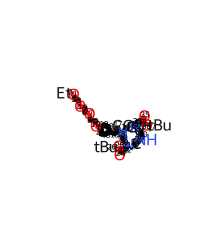 CCOCCOCCOCCOc1ccc(CC(C(=O)O)N2CCN(CC(=O)OC(C)(C)C)CCNCCN(CC(=O)OC(C)(C)C)CC2)cc1